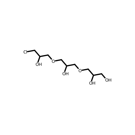 OCC(O)COCC(O)COCC(O)CCl